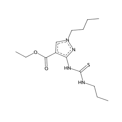 CCCCn1cc(C(=O)OCC)c(NC(=S)NCCC)n1